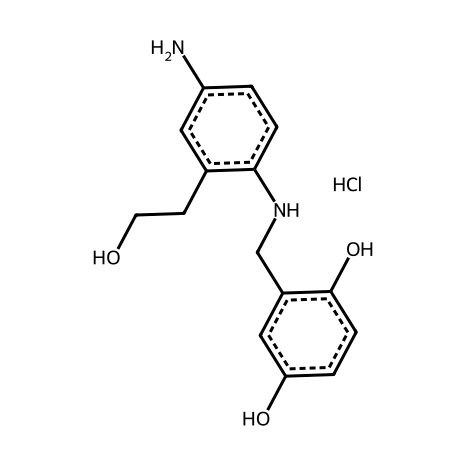 Cl.Nc1ccc(NCc2cc(O)ccc2O)c(CCO)c1